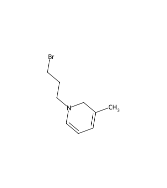 CC1=CC=CN(CCCBr)C1